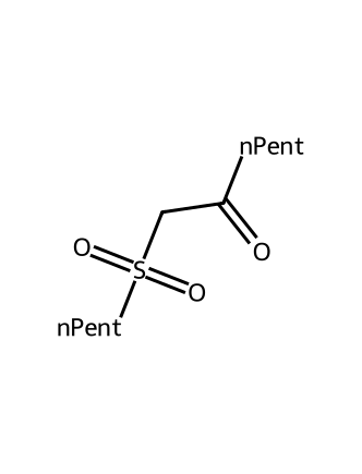 CCCCCC(=O)CS(=O)(=O)CCCCC